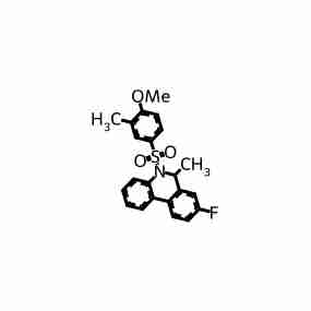 COc1ccc(S(=O)(=O)N2c3ccccc3-c3ccc(F)cc3C2C)cc1C